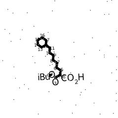 CCC(C)OC(=O)C(CCCCCCCC1CCCCC1)C(=O)O